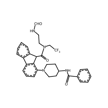 O=CNCCN(CC(F)(F)F)C(=O)C1c2ccccc2-c2cccc(N3CCC(NC(=O)c4ccccc4)CC3)c21